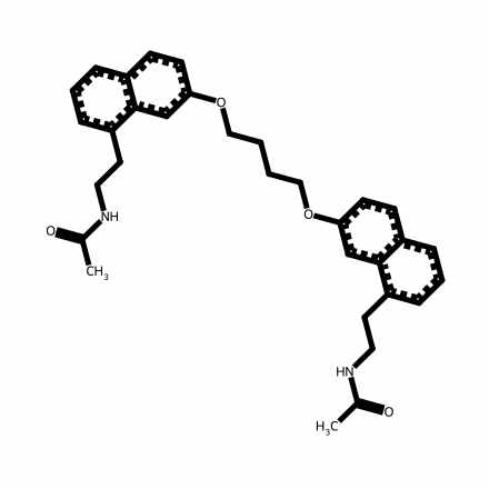 CC(=O)NCCc1cccc2ccc(OCCCCOc3ccc4cccc(CCNC(C)=O)c4c3)cc12